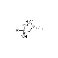 CN(C)C[PH](O)(O)O